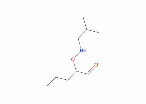 CCCC(C=O)ONCC(C)C